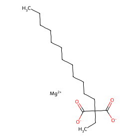 CCCCCCCCCCCCC(CC)(C(=O)[O-])C(=O)[O-].[Mg+2]